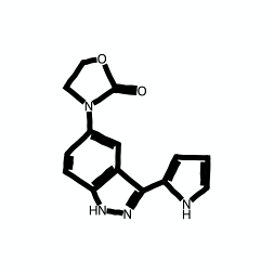 O=C1OCCN1c1ccc2[nH]nc(-c3ccc[nH]3)c2c1